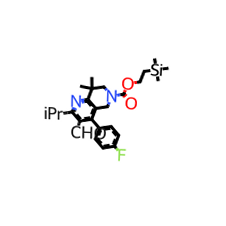 CC(C)c1nc2c(c(-c3ccc(F)cc3)c1C=O)CN(C(=O)OCC[Si](C)(C)C)CC2(C)C